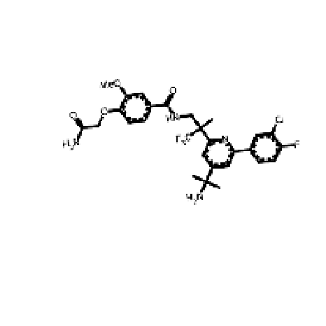 COc1cc(C(=O)NCC(C)(c2cc(C(C)(C)N)cc(-c3ccc(F)c(Cl)c3)n2)C(F)(F)F)ccc1OCC(N)=O